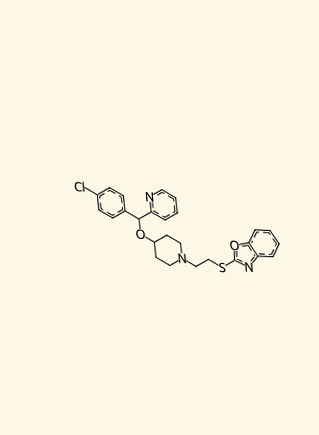 Clc1ccc(C(OC2CCN(CCSc3nc4ccccc4o3)CC2)c2ccccn2)cc1